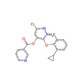 Cc1cccc(C2CC2)c1Oc1nnc(Cl)cc1OC(=O)c1cccnc1